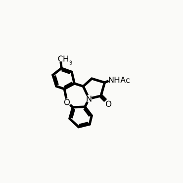 CC(=O)NC1CC2c3cc(C)ccc3Oc3ccccc3N2C1=O